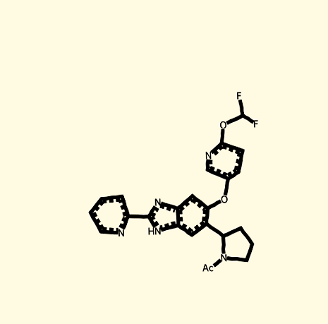 CC(=O)N1CCCC1c1cc2[nH]c(-c3ccccn3)nc2cc1Oc1ccc(OC(F)F)nc1